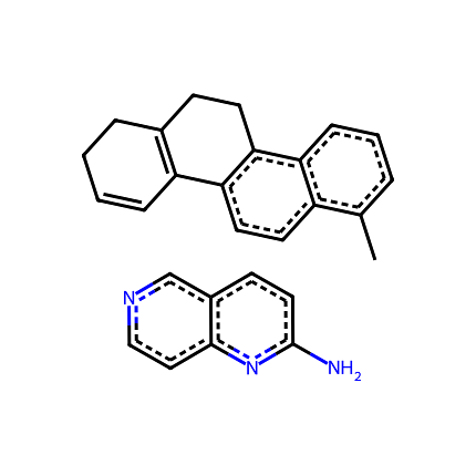 Cc1cccc2c3c(ccc12)C1=C(CCC=C1)CC3.Nc1ccc2cnccc2n1